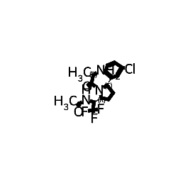 CC(=O)NC([C@H]1CC[C@@H](c2cccc(Cl)c2)N1C(=O)[C@@H](C)N)C(F)(F)F